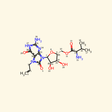 C=CCn1c(=O)n(C2O[C@H](COC(=O)C(N)C(C)C)[C@@H](O)[C@H]2O)c2nc(N)[nH]c(=O)c21